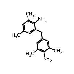 Cc1cc(C)c(N)c(Cc2cc(C)c(N)c(C)c2)c1